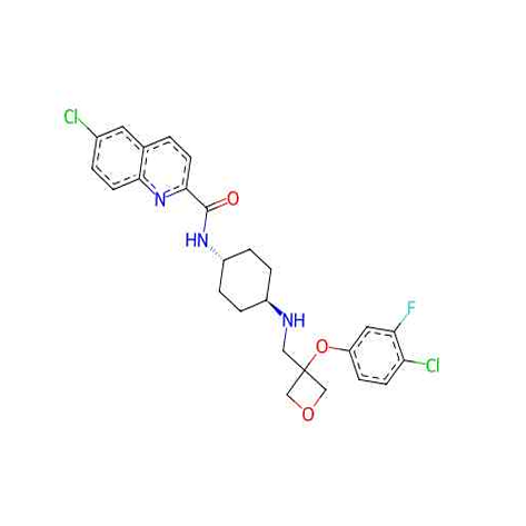 O=C(N[C@H]1CC[C@H](NCC2(Oc3ccc(Cl)c(F)c3)COC2)CC1)c1ccc2cc(Cl)ccc2n1